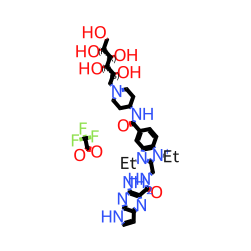 CCn1c(CNC(=O)c2nc3cc[nH]c3nc2N)[n+](CC)c2ccc(C(=O)NC3CCN(C[C@H](O)[C@@H](O)[C@H](O)[C@H](O)CO)CC3)cc21.O=C([O-])C(F)(F)F